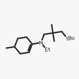 CCN(CC(C)(C)CC(C)(C)C)C1=CCC(C)CC1